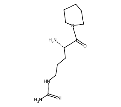 N=C(N)NCCC[C@H](N)C(=O)N1CCCCC1